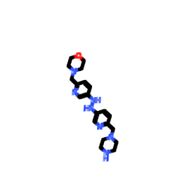 c1cc(CN2CCNCC2)ncc1NNc1ccc(CN2CCOCC2)nc1